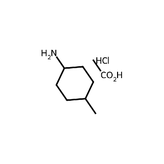 CC(=O)O.CC1CCC(N)CC1.Cl